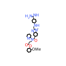 COc1ccccc1OC(=O)CCN(C(=O)c1ccc2c(c1)nc(CNc1ccc(C(=N)N)cc1)n2C)c1ccccn1